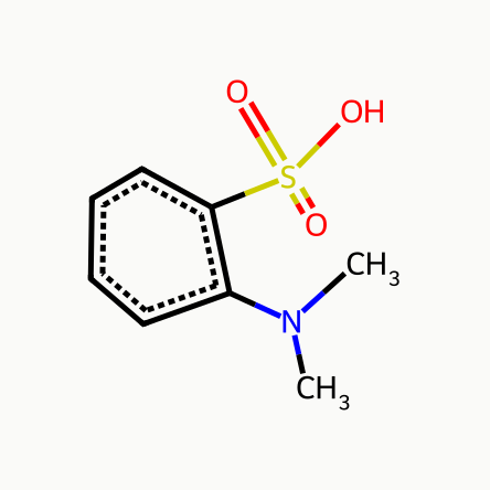 CN(C)c1ccccc1S(=O)(=O)O